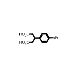 CCCc1ccc(C(CC(=O)O)CC(=O)O)cc1